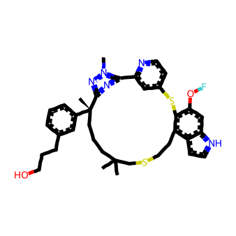 Cn1nc2nc1-c1cc(ccn1)Sc1c(OF)cc3[nH]ccc3c1CCSCC(C)(C)CCC[C@]2(C)c1cccc(CCCO)c1